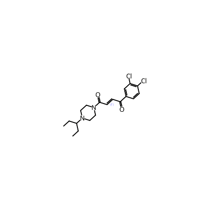 CCC(CC)N1CCN(C(=O)/C=C/C(=O)c2ccc(Cl)c(Cl)c2)CC1